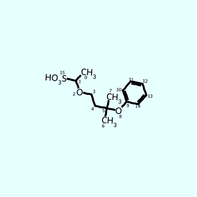 CC(OCCC(C)(C)Oc1ccccc1)S(=O)(=O)O